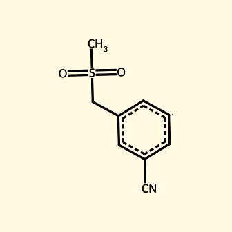 CS(=O)(=O)Cc1c[c]cc(C#N)c1